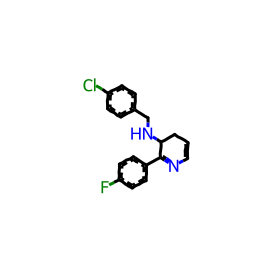 Fc1ccc(C2=NC=CCC2NCc2ccc(Cl)cc2)cc1